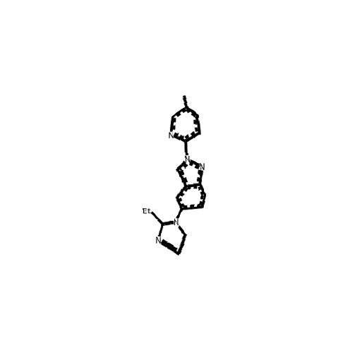 CCC1N=CCN1c1ccc2nn(-c3ccc(C)cn3)cc2c1